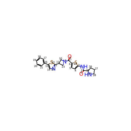 O=C(Nc1ccc(C(=O)N2CC(c3ncc(-c4ccccc4)s3)C2)s1)C1CCCN1